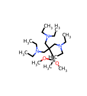 CCN(CC)CC(CN(CC)CC)(CN(CC)CC)C[Si](C)(OC)OC